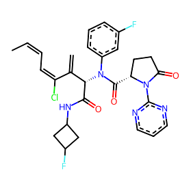 C=C(/C(Cl)=C\C=C/C)[C@@H](C(=O)NC1CC(F)C1)N(C(=O)[C@@H]1CCC(=O)N1c1ncccn1)c1cccc(F)c1